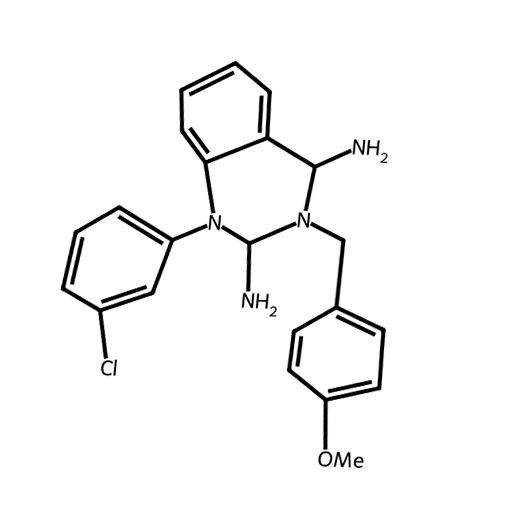 COc1ccc(CN2C(N)c3ccccc3N(c3cccc(Cl)c3)C2N)cc1